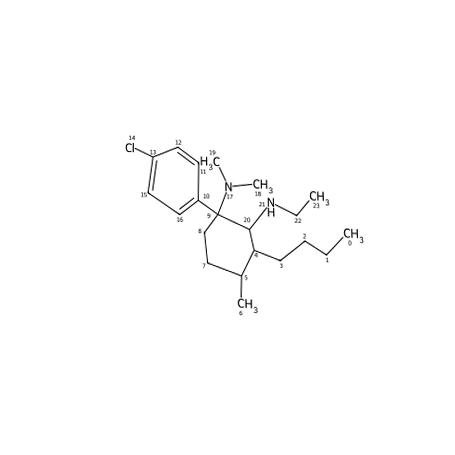 CCCCC1C(C)CCC(c2ccc(Cl)cc2)(N(C)C)C1NCC